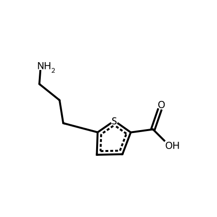 NCCCc1ccc(C(=O)O)s1